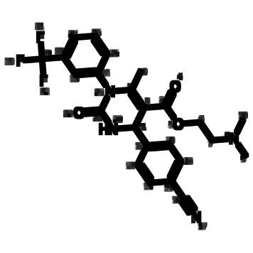 CC1=C(C(=O)OCCN(C)C)C(c2ccc(C#N)cc2)NC(=O)N1c1cccc(C(F)(F)F)c1